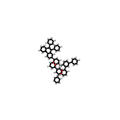 c1ccc(-c2ccc(N(c3ccc(-c4ccc5c(c4)c(-c4ccccc4)c(-c4ccccc4)c4ccccc45)cc3)c3ccc(-c4ccccc4)cc3-c3ccccc3)c(-c3ccccc3)c2)cc1